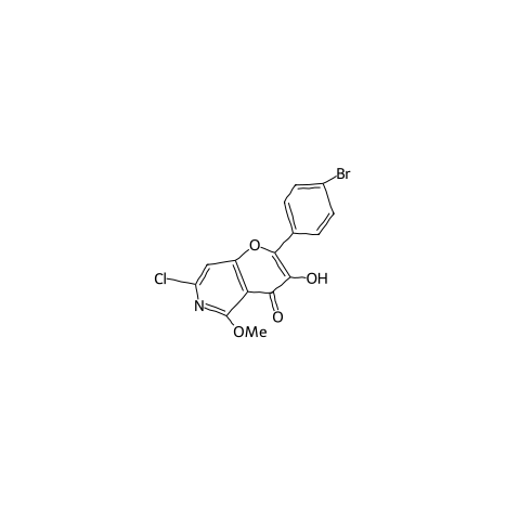 COc1nc(Cl)cc2oc(-c3ccc(Br)cc3)c(O)c(=O)c12